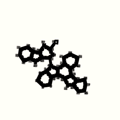 Clc1nc(-n2c3ccccc3c3c4sc5ccccc5c4c4ccccc4c32)c2sc3ccccc3c2n1